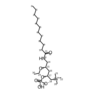 CCCCCCCCCCCC(=O)NCC(CC(C[N+](C)(C)C)OP(=O)([O-])O)OCC